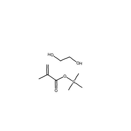 C=C(C)C(=O)O[Si](C)(C)C.OCCO